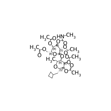 CNC(=O)O[C@H]1[C@H](OC(C)=O)[C@@H](O[C@@H]2C(C)O[C@@H](CC3CCC3)[C@@H](OC(C)=O)[C@@H]2OC(C)=O)O[C@H](COC(C)=O)[C@H]1OC(C)=O